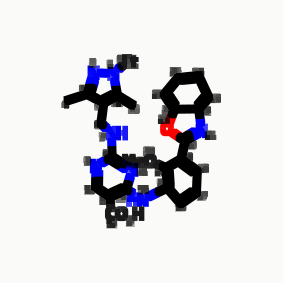 CCn1nc(C)c(CNc2ncc(C(=O)O)c(Nc3cccc(-c4nc5ccccc5o4)c3OC)n2)c1C